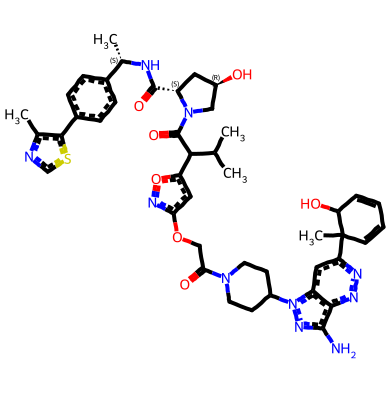 Cc1ncsc1-c1ccc([C@H](C)NC(=O)[C@@H]2C[C@@H](O)CN2C(=O)C(c2cc(OCC(=O)N3CCC(n4nc(N)c5nnc(C6(C)C=CC=CC6O)cc54)CC3)no2)C(C)C)cc1